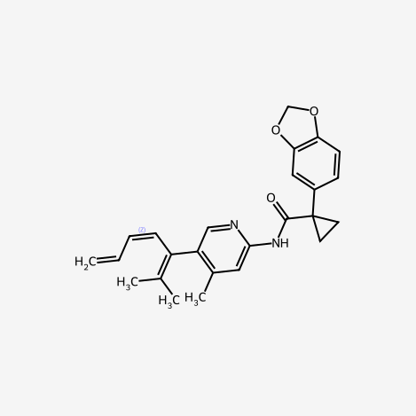 C=C/C=C\C(=C(C)C)c1cnc(NC(=O)C2(c3ccc4c(c3)OCO4)CC2)cc1C